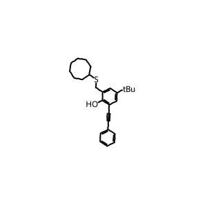 CC(C)(C)c1cc(C#Cc2ccccc2)c(O)c(CSC2CCCCCCC2)c1